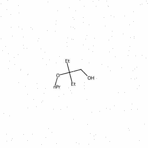 CCCOC(CC)(CC)CO